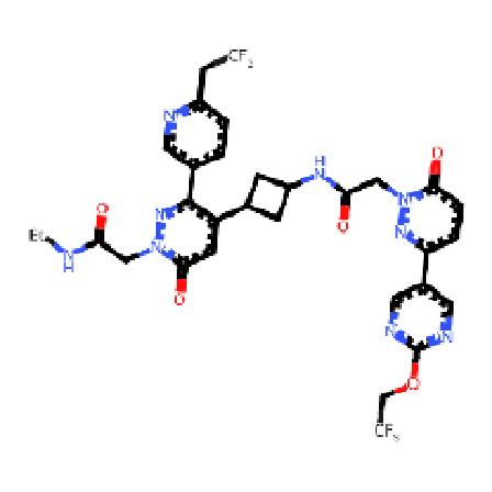 CCNC(=O)Cn1nc(-c2ccc(CC(F)(F)F)nc2)c(C2CC(NC(=O)Cn3nc(-c4cnc(OCC(F)(F)F)nc4)ccc3=O)C2)cc1=O